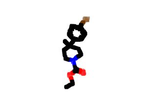 CCOC(=O)N1CCC(C)(c2ccc(Br)cc2)CC1